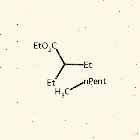 CCCCCC.CCOC(=O)C(CC)CC